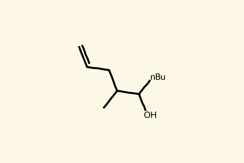 C=CCC(C)C(O)CCCC